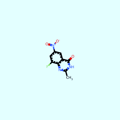 Cc1nc2c(F)cc([N+](=O)[O-])cc2c(=O)[nH]1